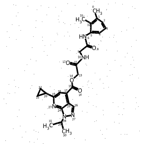 Cc1cccc(NC(=O)CNC(=O)COC(=O)c2cc(C3CC3)nc3c2cnn3C(C)C)c1C